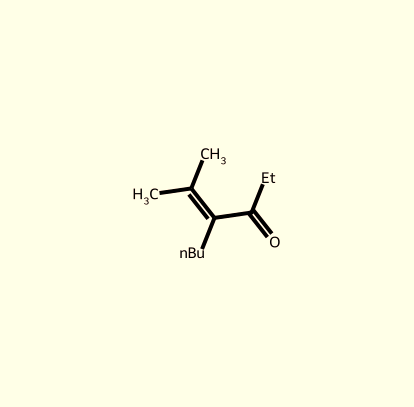 CCCCC(C(=O)CC)=C(C)C